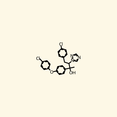 CC(O)(c1ccc(Oc2ccc(Cl)cc2)cc1)C(Cc1ccc(Cl)cc1)n1cncn1